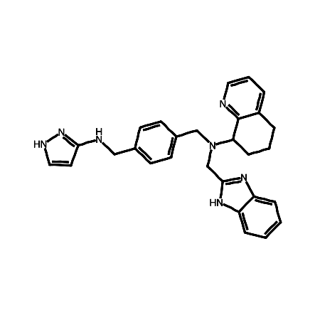 c1cnc2c(c1)CCCC2N(Cc1ccc(CNc2cc[nH]n2)cc1)Cc1nc2ccccc2[nH]1